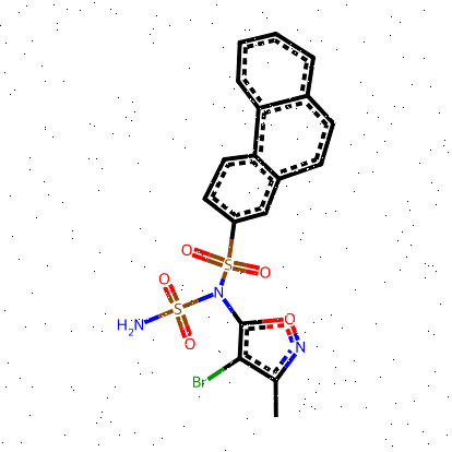 Cc1noc(N(S(N)(=O)=O)S(=O)(=O)c2ccc3c(ccc4ccccc43)c2)c1Br